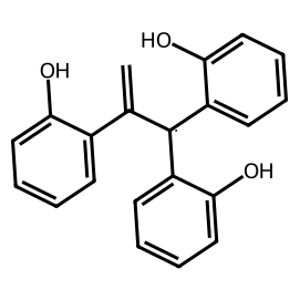 C=C([C](c1ccccc1O)c1ccccc1O)c1ccccc1O